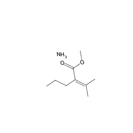 CCCC(C(=O)OC)=C(C)C.N